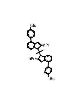 CCCC1=Cc2c(-c3ccc(C(C)(C)C)cc3)cccc2C1C(C)(C)C1C(CCC)=Cc2c(-c3ccc(C(C)(C)C)cc3)cccc21